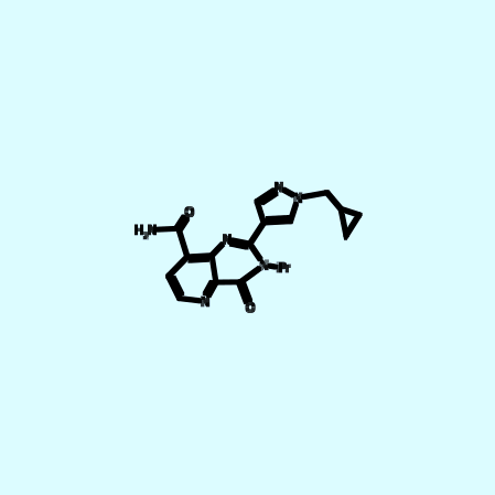 CC(C)n1c(-c2cnn(CC3CC3)c2)nc2c(C(N)=O)ccnc2c1=O